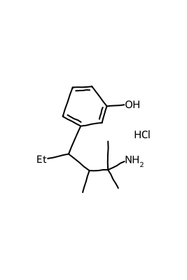 CCC(c1cccc(O)c1)C(C)C(C)(C)N.Cl